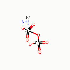 [K+].[NH4+].[O]=[Cr](=[O])([O-])[O][Cr](=[O])(=[O])[O-]